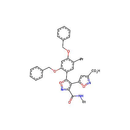 CCNC(=O)c1noc(-c2cc(C(C)C)c(OCc3ccccc3)cc2OCc2ccccc2)c1-c1cc(C(=O)O)no1